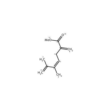 C=C(C)C(C)=CCC(=C)C(=O)OC